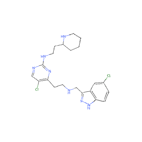 Clc1ccc2[nH]nc(CNCCc3nc(NCCC4CCCCN4)ncc3Cl)c2c1